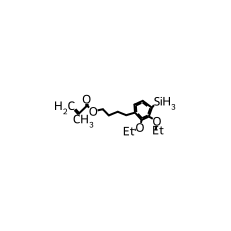 C=C(C)C(=O)OCCCCc1ccc([SiH3])c(OCC)c1OCC